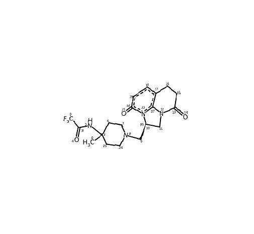 CC1(NC(=O)C(F)(F)F)CCN(C[C@@H]2CN3C(=O)CCc4ccc(=O)n2c43)CC1